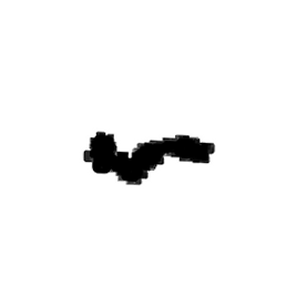 Cc1ccccc1C(=O)NCc1cccc(N2CCN(CC=Cc3ccc(N(C)C)cc3)CC2)c1